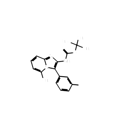 Cc1cccc(-c2c(NC(=O)OC(C)(C)C)nc3cccc(C)n23)c1